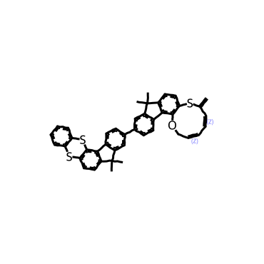 C=C1/C=C\C=C/COc2c(ccc3c2-c2ccc(-c4ccc5c(c4)C(C)(C)c4ccc6c(c4-5)Sc4ccccc4S6)cc2C3(C)C)S1